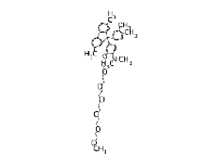 COCCOCCOCCOCCOCCOCCOc1cc(C2(c3ccc(C)c(C)c3)c3cc(C)ccc3-c3ccc(C)cc32)ccc1N(C)C